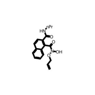 C=CCON(O)C(=O)c1c(C(=O)NCCC)ccc2ccccc12